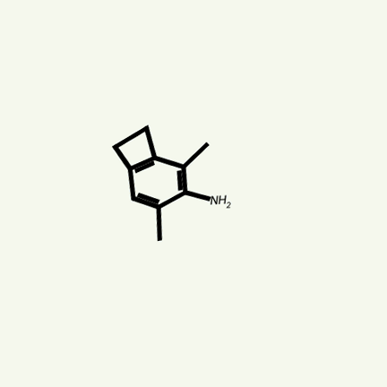 Cc1cc2c(c(C)c1N)CC2